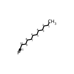 CCCCCCCCCCCC#P